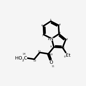 CCc1cc2ccccn2c1C(=O)CCC(=O)O